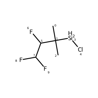 CC(C)([SiH2]Cl)C(F)C(F)F